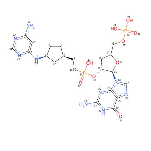 Nc1cc(N[C@H]2CC[C@@H](COP(=O)(O)O[C@@H]3CC(COP(=O)(O)O)O[C@H]3n3cnc4c(=O)[nH]c(N)nc43)C2)ncn1